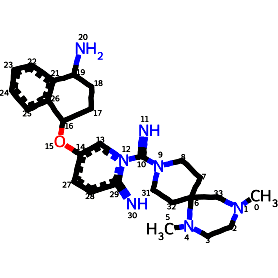 CN1CCN(C)C2(CCN(C(=N)n3cc(OC4CCC(N)c5ccccc54)ccc3=N)CC2)C1